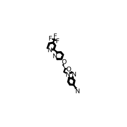 N#Cc1ccc2c(c1)nc1n2C[C@@H](COc2ccc(-c3cc(C(F)(F)F)ccn3)nc2)O1